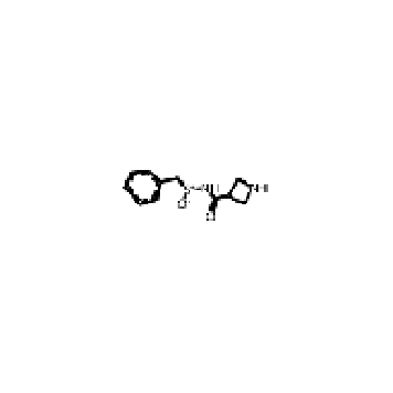 O=C(N[S+]([O-])Cc1ccccc1)C1CNC1